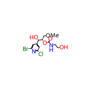 COC[C@@H](OC(=O)NCCO)[C@H](O)c1cc(Cl)nc(Br)c1